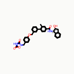 Cc1cc(C(=O)N[C@@H]2c3ccccc3C[C@@H]2O)ccc1-c1cccc(COc2ccc(Cn3oc(=O)[nH]c3=O)cc2)c1